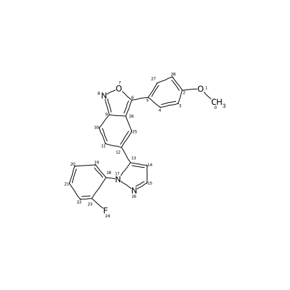 COc1ccc(-c2onc3ccc(-c4ccnn4-c4ccccc4F)cc23)cc1